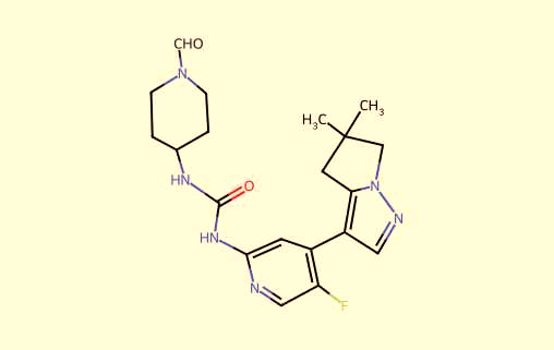 CC1(C)Cc2c(-c3cc(NC(=O)NC4CCN(C=O)CC4)ncc3F)cnn2C1